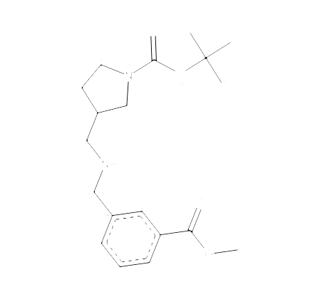 COC(=O)c1cccc(CNCC2CCN(C(=O)OC(C)(C)C)C2)c1